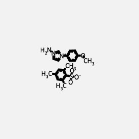 COc1ccc(-[n+]2ccn(N)c2)cc1.Cc1cc(C)c(S(=O)(=O)[O-])c(C)c1